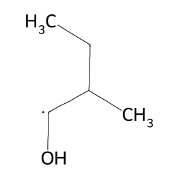 CCC(C)[CH]O